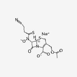 CON(C(=S)CCC#N)C1C(=O)N2C(C(=O)[O-])=C(COC(C)=O)CS[C@@H]12.[Na+]